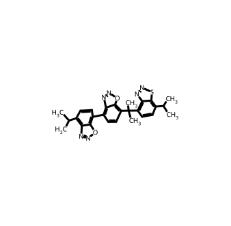 CC(C)c1ccc(-c2ccc(C(C)(C)c3ccc(C(C)C)c4snnc34)c3onnc23)c2onnc12